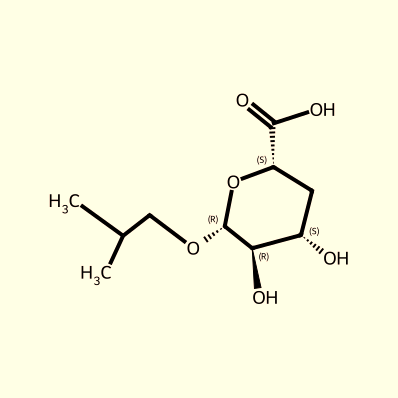 CC(C)CO[C@@H]1O[C@H](C(=O)O)C[C@H](O)[C@H]1O